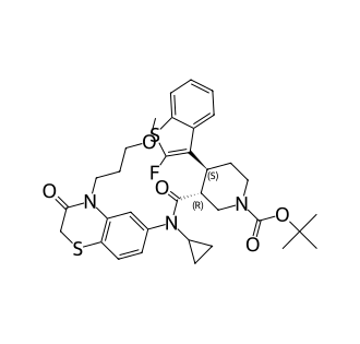 COCCCN1C(=O)CSc2ccc(N(C(=O)[C@H]3CN(C(=O)OC(C)(C)C)CC[C@@H]3c3c(F)sc4ccccc34)C3CC3)cc21